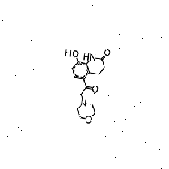 O=C1CCc2c(C(=O)CN3CCOCC3)ccc(O)c2N1